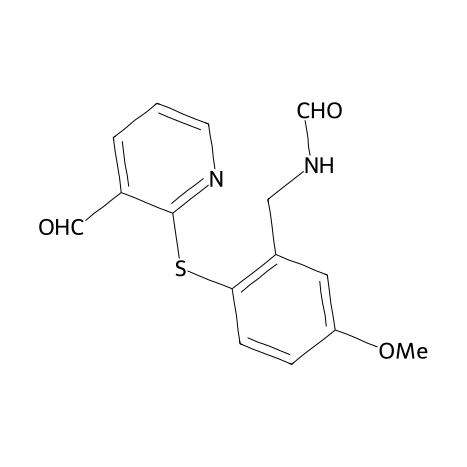 COc1ccc(Sc2ncccc2C=O)c(CNC=O)c1